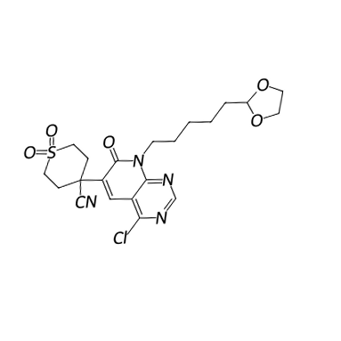 N#CC1(c2cc3c(Cl)ncnc3n(CCCCCC3OCCO3)c2=O)CCS(=O)(=O)CC1